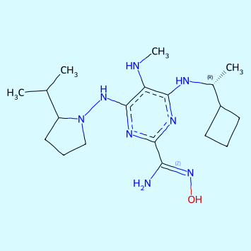 CNc1c(N[C@H](C)C2CCC2)nc(/C(N)=N/O)nc1NN1CCCC1C(C)C